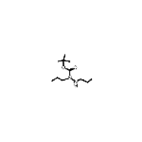 CCCNN(CCC)C(=O)OC(C)(C)C